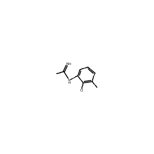 CC(=N)Nc1cccc(C)c1Cl